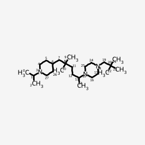 CC(C)N1CCC(CC(C)(C)CCC(C)N2CCN(CC(C)(C)C)CC2)CC1